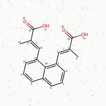 C/C(=C\c1cccc2cccc(/C=C(\C)C(=O)O)c12)C(=O)O